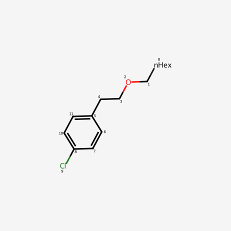 [CH2]CCCCCCOCCc1ccc(Cl)cc1